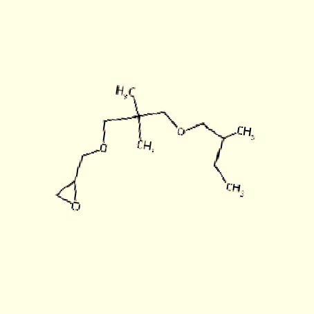 CCC(C)COCC(C)(C)COCC1CO1